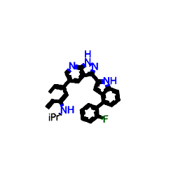 C=C/C(=C\C(=C/C)c1cnc2[nH]nc(-c3cc4c(-c5ccccc5F)cccc4[nH]3)c2c1)NC(C)C